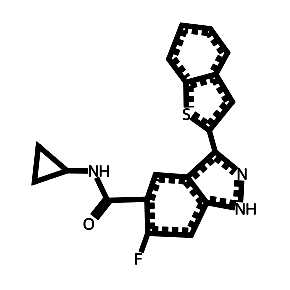 O=C(NC1CC1)c1cc2c(-c3cc4ccccc4s3)n[nH]c2cc1F